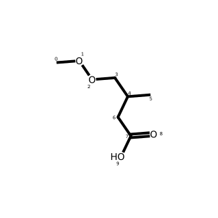 COOCC(C)CC(=O)O